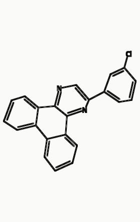 Clc1cccc(-c2cnc3c4ccccc4c4ccccc4c3n2)c1